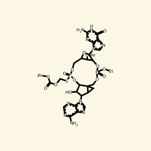 CCOP1(=O)OCC23CC2C(n2cnc4c(N)ncnc42)C(O)C3OP(=O)(SCOC(=O)OC(C)C)OCC2OC(n3cnc4c(=O)[nH]c(N)nc43)C(O1)C2OC